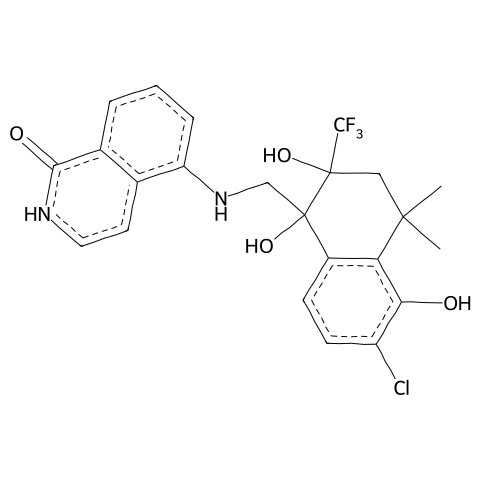 CC1(C)CC(O)(C(F)(F)F)C(O)(CNc2cccc3c(=O)[nH]ccc23)c2ccc(Cl)c(O)c21